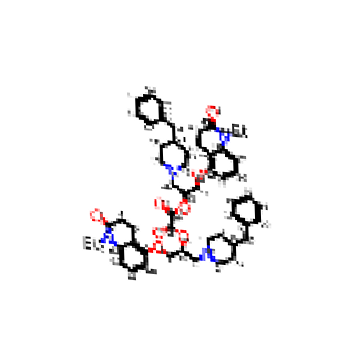 CCN1C(=O)CCc2c(OCC(CN3CCC(Cc4ccccc4)CC3)OC(=O)C(=O)OC(COc3cccc4c3CCC(=O)N4CC)CN3CCC(Cc4ccccc4)CC3)cccc21